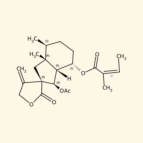 C=C1COC(=O)[C@]12C[C@@]1(C)[C@H]([C@@H](OC(=O)/C(C)=C\C)CC[C@@H]1C)[C@H]2OC(C)=O